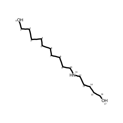 OCCCCCCCCCCNCCCCCO